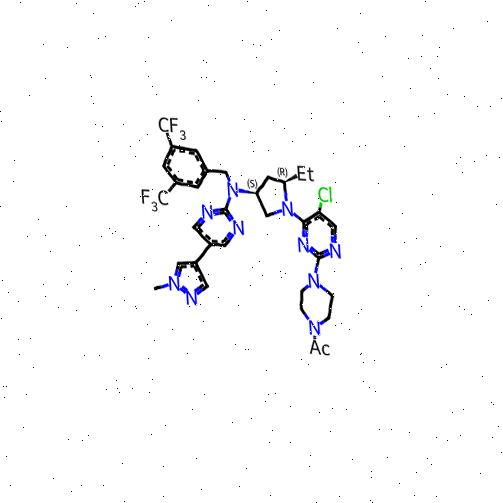 CC[C@@H]1C[C@H](N(Cc2cc(C(F)(F)F)cc(C(F)(F)F)c2)c2ncc(-c3cnn(C)c3)cn2)CN1c1nc(N2CCN(C(C)=O)CC2)ncc1Cl